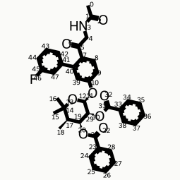 CC(=O)NCC(=O)c1ccc(O[C@@H]2OC(C)(C)[C@H](C)[C@@H](OC(=O)c3ccccc3)[C@H]2OC(=O)c2ccccc2)cc1-c1cccc(F)c1